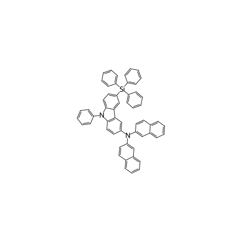 c1ccc(-n2c3ccc(N(c4ccc5ccccc5c4)c4ccc5ccccc5c4)cc3c3cc([Si](c4ccccc4)(c4ccccc4)c4ccccc4)ccc32)cc1